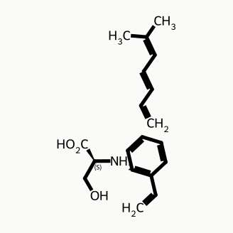 C=CC=CC=C(C)C.C=Cc1ccccc1.N[C@@H](CO)C(=O)O